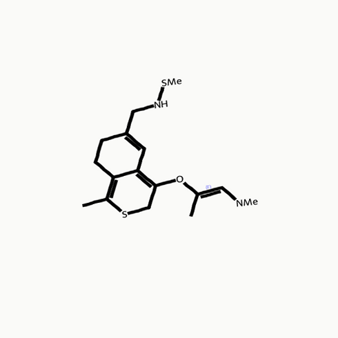 CN/C=C(\C)OC1=C2C=C(CNSC)CCC2=C(C)SC1